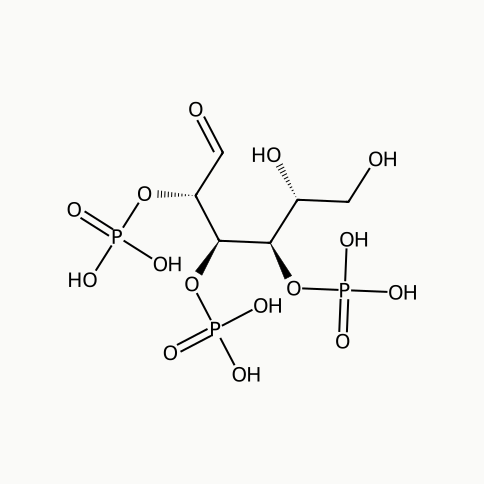 O=C[C@@H](OP(=O)(O)O)[C@H](OP(=O)(O)O)[C@H](OP(=O)(O)O)[C@H](O)CO